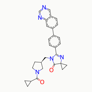 O=C(C1CC1)N1CC[C@@H](CN2C(=O)C3(CC3)N=C2c2ccc(-c3ccc4cncnc4c3)cc2)C1